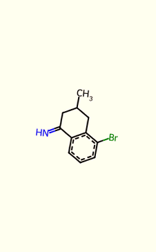 CC1CC(=N)c2cccc(Br)c2C1